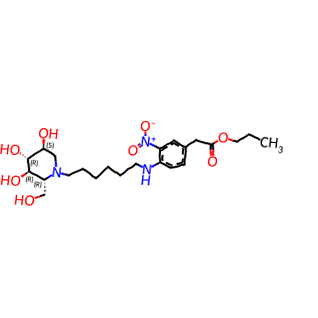 CCCOC(=O)Cc1ccc(NCCCCCCN2C[C@H](O)[C@@H](O)[C@H](O)[C@H]2CO)c([N+](=O)[O-])c1